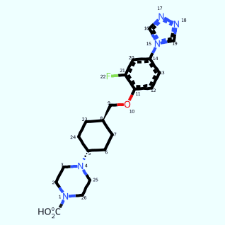 O=C(O)N1CCN([C@H]2CC[C@H](COc3ccc(-n4cnnc4)cc3F)CC2)CC1